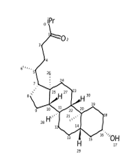 CC(C)C(=O)CC[C@@H](C)[C@H]1CC[C@H]2[C@@H]3CC[C@H]4C[C@@H](O)CC[C@]4(C)[C@H]3CC[C@]12C